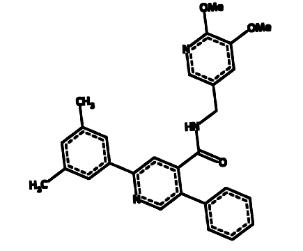 COc1cc(CNC(=O)c2cc(-c3cc(C)cc(C)c3)ncc2-c2ccccc2)cnc1OC